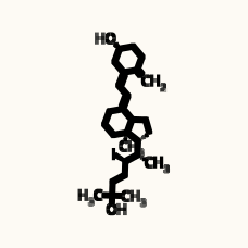 C=C1CC[C@H](O)C/C1=C/C=C1CCC[C@@]2(C)C1CC[C@@H]2[C@H](C)[C@H](I)CCC(C)(C)O